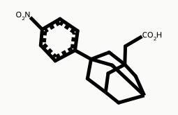 O=C(O)CC12CC3CC(C1)CC(c1ccc([N+](=O)[O-])cc1)(C3)C2